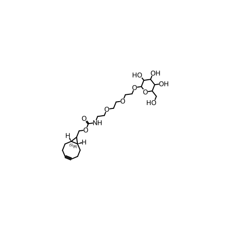 O=C(NCCOCCOCCOC1OC(CO)C(O)C(O)C1O)OCC1[C@H]2CCC#CCC[C@@H]12